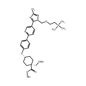 COC[C@]1(C(=O)OC(C)(C)C)CC[C@H](Oc2ccc(-c3ccc(-c4nc(C(F)(F)F)nn4COCC[Si](C)(C)C)cn3)cc2)CC1